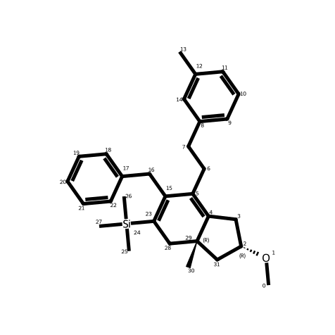 CO[C@H]1CC2=C(CCc3cccc(C)c3)C(Cc3ccccc3)=C([Si](C)(C)C)C[C@@]2(C)C1